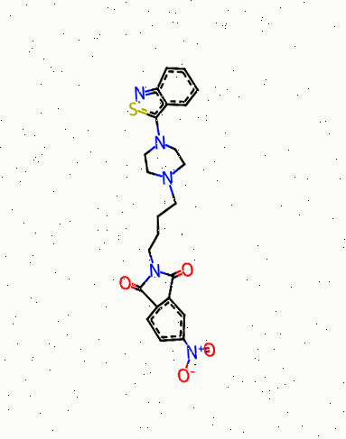 O=C1c2ccc([N+](=O)[O-])cc2C(=O)N1CCCCN1CCN(c2snc3ccccc23)CC1